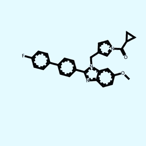 COc1ccc2nc(-c3ccc(-c4ccc(F)cc4)cc3)n(Cc3ccn(C(=O)C4CC4)c3)c2c1